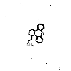 NCCC1CCCC2=C1c1ccccc1Oc1ccccc12